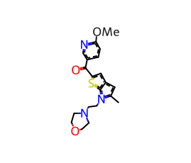 COc1ccc(C(=O)c2cc3cc(C)n(CCN4CCOCC4)c3s2)cn1